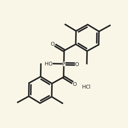 Cc1cc(C)c(C(=O)P(=O)(O)C(=O)c2c(C)cc(C)cc2C)c(C)c1.Cl